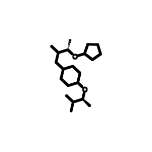 CC(C)[C@H](C)OC1CCC(CC(C)[C@H](C)OC2CCCC2)CC1